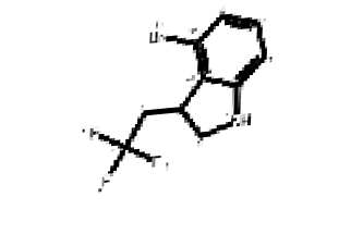 FC(F)(F)CC1CNc2cccc(Br)c21